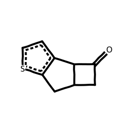 O=C1CC2Cc3sccc3C12